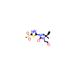 C#CC(C)(C)N(CC=O)C(=O)Nc1nnc(S(C)(=O)=O)s1